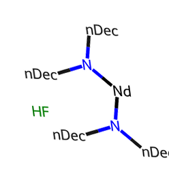 CCCCCCCCCC[N](CCCCCCCCCC)[Nd][N](CCCCCCCCCC)CCCCCCCCCC.F